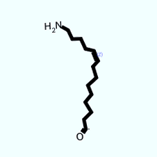 NCCCC/C=C\CCCCCCC[C]=O